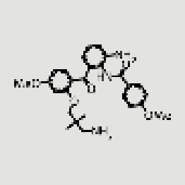 COc1ccc(C(=O)Nc2c(N)cccc2C(=O)c2ccc(OC)cc2OCC(C)(C)CN)cc1